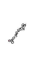 CC(C)(C)OC(=O)/C(C#N)=C/c1cc2sc(-c3cc4sc(-c5ccc(N6C7=C8CCC(C8)C7c7ccccc76)cc5)cc4s3)cc2s1